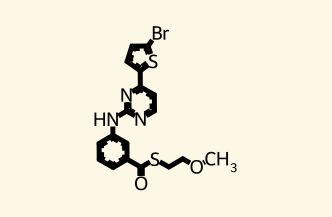 COCCSC(=O)c1cccc(Nc2nccc(-c3ccc(Br)s3)n2)c1